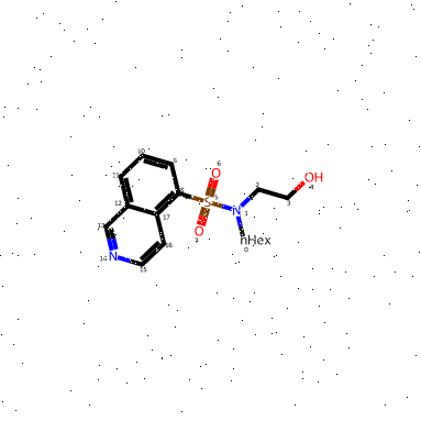 CCCCCCN(CCO)S(=O)(=O)c1cccc2cnccc12